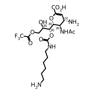 CC(=O)N[C@H]1[C@H]([C@H](OC(=O)NCCCCCCN)[C@H](O)COC(=O)C(F)(F)F)OC(C(=O)O)=C[C@@H]1N